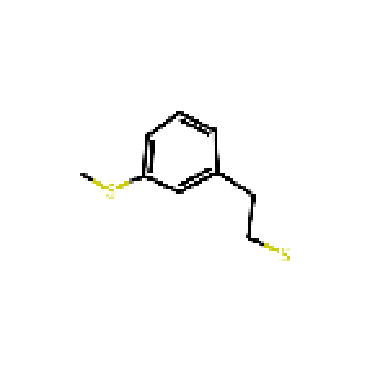 CSc1cccc(CC[S])c1